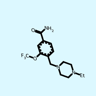 CCN1CCN(Cc2ccc(C(N)=O)cc2OC(F)(F)F)CC1